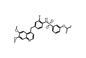 COc1cc2nccc(Cc3ccc(NS(=O)(=O)c4cccc(OC(F)F)c4)c(F)c3)c2cc1OC